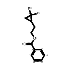 O=C(OCCC1CC1(F)F)c1ccccc1